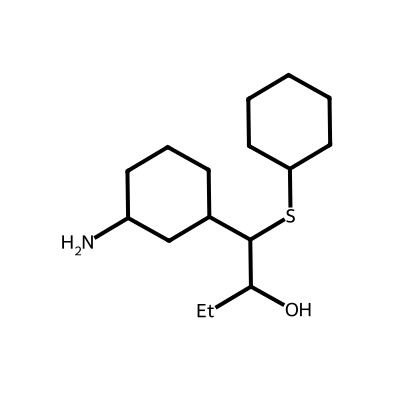 CCC(O)C(SC1CCCCC1)C1CCCC(N)C1